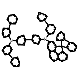 c1ccc(-c2cccc(N(c3ccc(-c4ccc(N(c5cccc(-c6ccccc6)c5)c5cc6c7c(ccc8cccc(c87)C67c6ccccc6-c6ccccc67)c5)cc4)cc3)c3cccc(-c4ccccc4)c3)c2)cc1